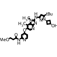 COCCC(=O)Nc1cc(Oc2cnc3nc(Nc4cc(C(C)(C)C)n([C@H]5C[C@H](O)C5)n4)n(C)c3c2C)ccn1